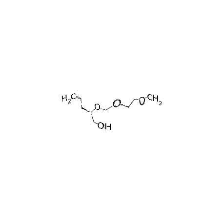 C=CC[C@H](CO)OCOCCOC